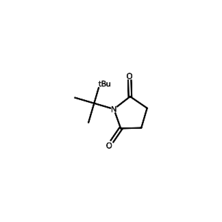 CC(C)(C)C(C)(C)N1C(=O)CCC1=O